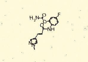 Cn1cc(C=CC(=O)Nc2ccc(F)cc2OC(N)=O)cn1